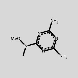 CON(C)c1nc(N)nc(N)n1